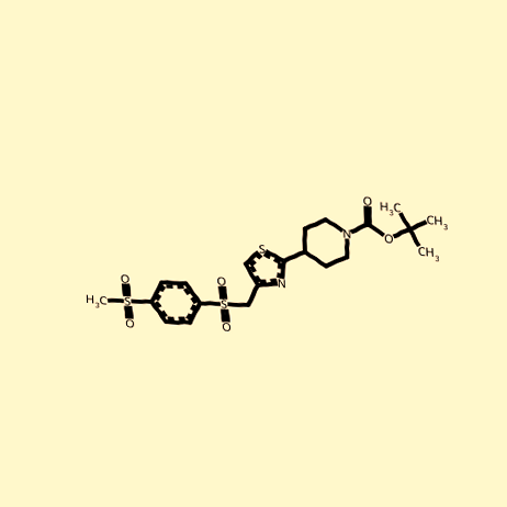 CC(C)(C)OC(=O)N1CCC(c2nc(CS(=O)(=O)c3ccc(S(C)(=O)=O)cc3)cs2)CC1